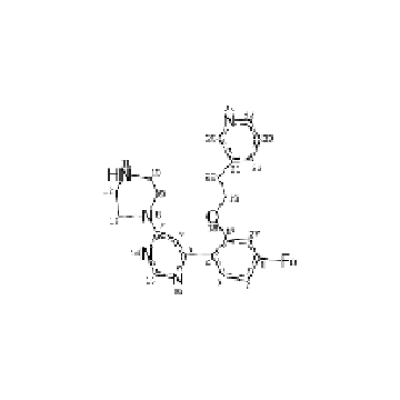 Fc1ccc(-c2cc(N3CCNCC3)ncn2)c(OCCc2cccnc2)c1